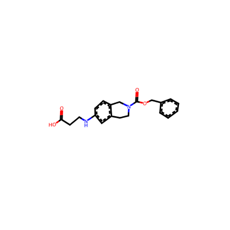 O=C(O)CCNc1ccc2c(c1)CCN(C(=O)OCc1ccccc1)C2